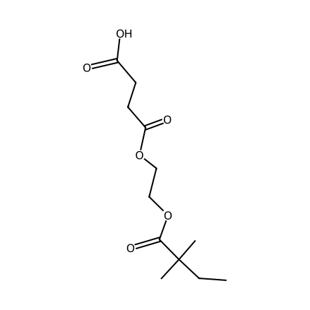 CCC(C)(C)C(=O)OCCOC(=O)CCC(=O)O